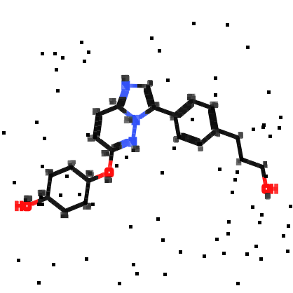 OCCCc1ccc(-c2cnc3ccc(OC4CCC(O)CC4)nn23)cc1